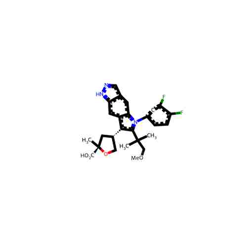 COCC(C)(C)c1c([C@@H]2CO[C@@](C)(C(=O)O)C2)c2cc3[nH]ncc3cc2n1-c1ccc(F)c(F)c1